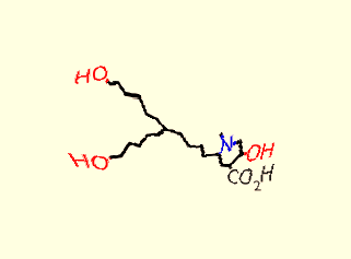 CN1CC(O)C(C(=O)O)CC1CCCCC(CCCCCCO)CCCCCCO